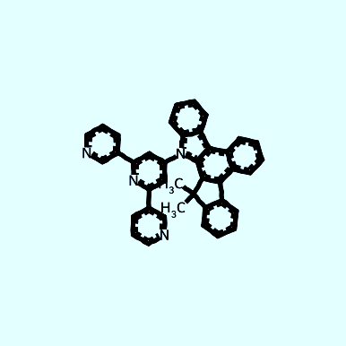 CC1(C)c2ccccc2-c2c1c1c(c3ccccc23)c2ccccc2n1-c1cc(-c2cccnc2)nc(-c2cccnc2)c1